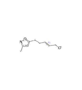 Cc1cc(CC/C=C/CCl)on1